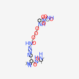 Cc1cc(C)c(CNC(=O)c2cc(-c3ccc(N4CCN(CCNC(=O)CCOCCOCCOCCNc5cccc6c5C(=O)N(C5CCC(=O)NC5=O)C6=O)CC4)nc3)cc3c2cnn3C(C)C)c(=O)[nH]1